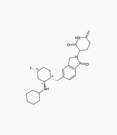 C=C1CCC(N2Cc3cc(C[C@H]4CC[C@@H](F)C[C@@H]4NC4CCCCC4)ccc3C2=O)C(=O)N1